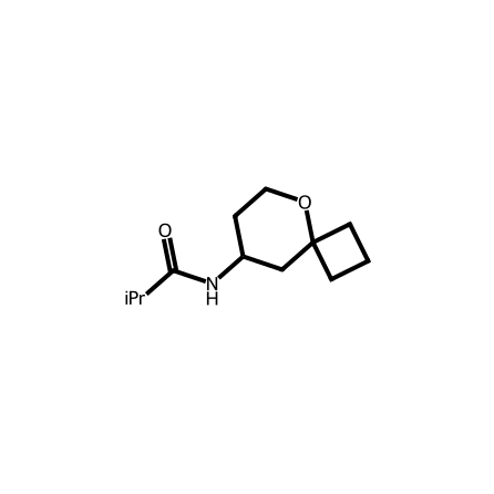 CC(C)C(=O)NC1CCOC2(CCC2)C1